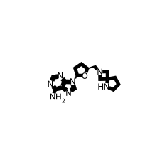 Nc1ncnc2c1ncn2[C@H]1CC[C@@H](CN2CC3(CCCN3)C2)O1